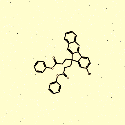 O=C(CCC1(CCC(=O)Oc2ccccc2)c2cc(Br)ccc2-c2nc3ccccc3cc21)Oc1ccccc1